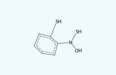 ON(S)c1ccccc1S